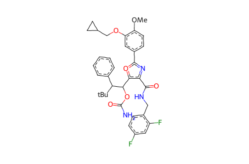 COc1ccc(-c2nc(C(=O)NCc3ccc(F)cc3F)c(C(OC(N)=O)C(c3ccccc3)C(C)(C)C)o2)cc1OCC1CC1